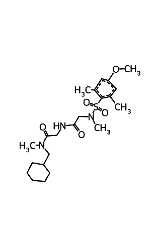 COc1cc(C)c(S(=O)(=O)N(C)CC(=O)NCC(=O)N(C)CC2CCCCC2)c(C)c1